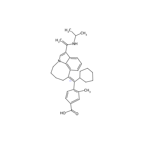 C=C(NC(C)C)c1cn2c3c(cccc13)/C(=C(/c1ccc(C(=O)O)cc1C)C1CCCCC1)CCCC2